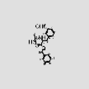 CB(O)NC(Cc1cccc(C=O)c1)C(=O)OCc1ccccc1